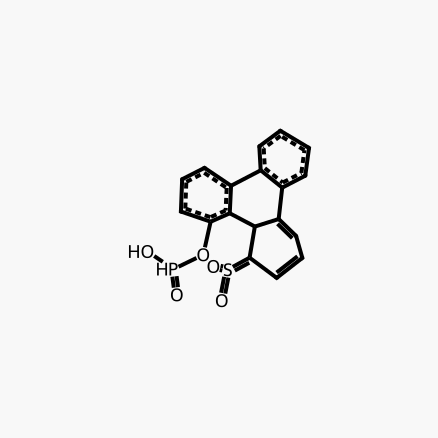 O=[PH](O)Oc1cccc2c1C1C(=CC=CC1=S(=O)=O)c1ccccc1-2